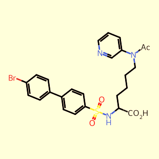 CC(=O)N(CCCCC(NS(=O)(=O)c1ccc(-c2ccc(Br)cc2)cc1)C(=O)O)c1cccnc1